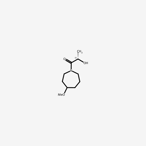 COC1CCCN(C(=O)[C@H](C)O)CC1